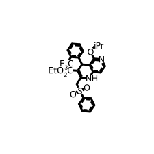 CCOC(=O)C1=C(CS(=O)(=O)c2ccccc2)Nc2ccnc(OC(C)C)c2C1c1ccccc1C(F)(F)F